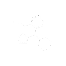 O=C(O)Cc1ccccc1C(=C1CCNCC1)c1ccsc1